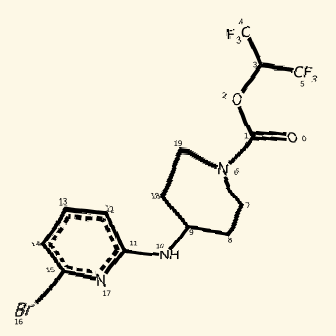 O=C(OC(C(F)(F)F)C(F)(F)F)N1CCC(Nc2cccc(Br)n2)CC1